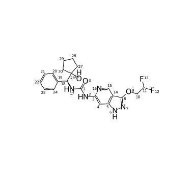 O=C(Nc1cc2[nH]nc(OCC(F)F)c2cn1)N[C@@H](c1ccccc1)C1(O)CCCC1